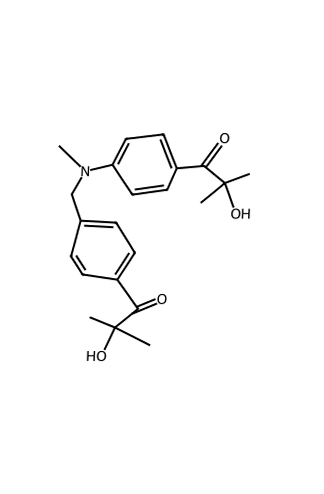 CN(Cc1ccc(C(=O)C(C)(C)O)cc1)c1ccc(C(=O)C(C)(C)O)cc1